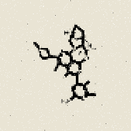 Cc1nc(N)cc(-c2nc3c4c(nc(C5CCN(C)C5)c(C)c4c2F)N2C[C@H]4CC[C@H](N4)[C@H]2[C@H](C)O3)c1C(F)(F)F